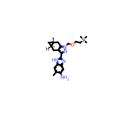 Cc1cc2[nH]c(-c3nn(COCC[Si](C)(C)C)c4c3C[C@@H]3C[C@]3(C)C4)nc2cc1N